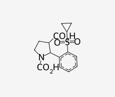 O=C(O)C1CCN(C(=O)O)C1c1ccccc1S(=O)(=O)C1CC1